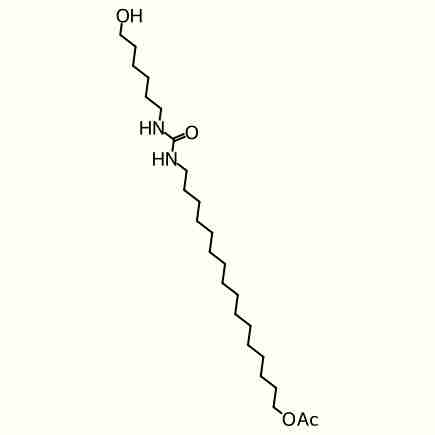 CC(=O)OCCCCCCCCCCCCCCCCNC(=O)NCCCCCCO